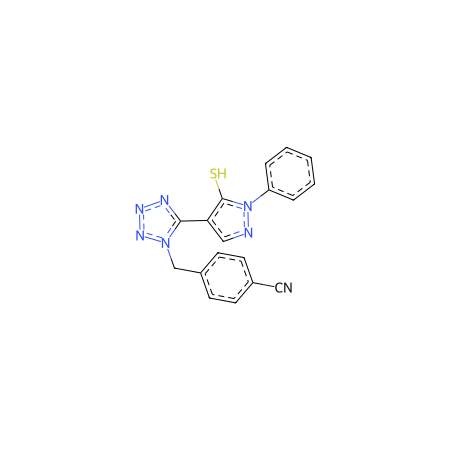 N#Cc1ccc(Cn2nnnc2-c2cnn(-c3ccccc3)c2S)cc1